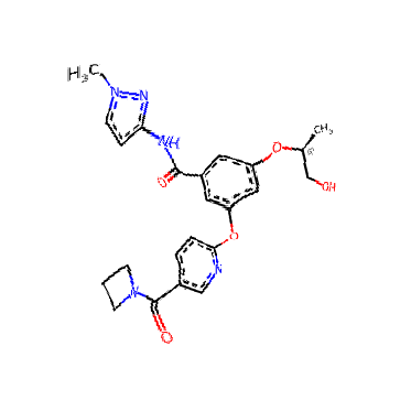 C[C@@H](CO)Oc1cc(Oc2ccc(C(=O)N3CCC3)cn2)cc(C(=O)Nc2ccn(C)n2)c1